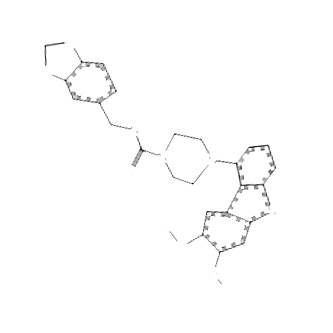 COc1cc2[nH]c3cccc(N4CCN(C(=S)NCc5ccc6c(c5)OCO6)CC4)c3c2cc1OC